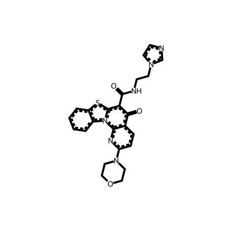 O=C(NCCn1ccnc1)c1c(=O)c2ccc(N3CCOCC3)nc2n2c1sc1ccccc12